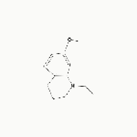 CCN1CCCc2ccc(OC)cc21